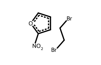 BrCCBr.O=[N+]([O-])c1ccco1